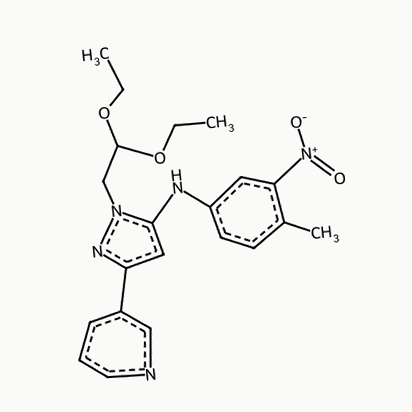 CCOC(Cn1nc(-c2cccnc2)cc1Nc1ccc(C)c([N+](=O)[O-])c1)OCC